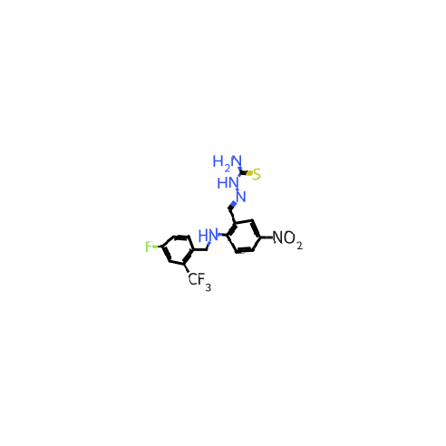 NC(=S)NN=Cc1cc([N+](=O)[O-])ccc1NCc1ccc(F)cc1C(F)(F)F